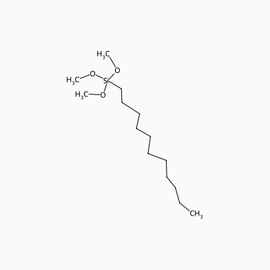 CCCCCCCCCCC[Si](OC)(OC)OC